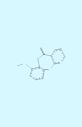 C=C1Cc2c(OC)cccc2Oc2ncccc21